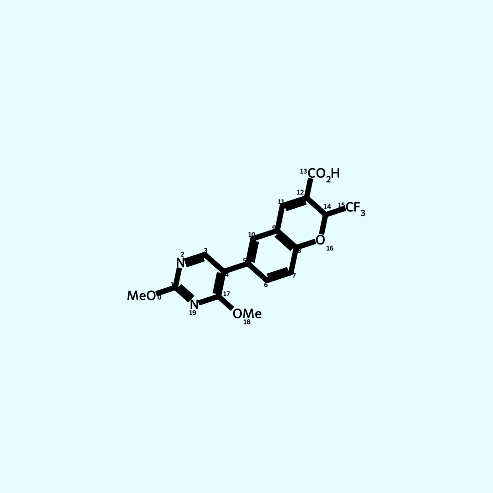 COc1ncc(-c2ccc3c(c2)C=C(C(=O)O)C(C(F)(F)F)O3)c(OC)n1